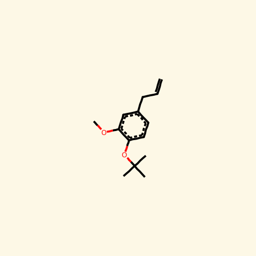 C=CCc1ccc(OC(C)(C)C)c(OC)c1